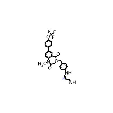 CN1C(=O)CN(Cc2ccc(N/C=C\C=N)cc2)C(=O)c2cc(-c3ccc(OC(F)(F)F)cc3)ccc21